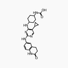 O=C(O)NC1CCC(Nc2nc(Nc3ccc4c(c3)CCC(=O)N4)ncc2C2CC2)CC1